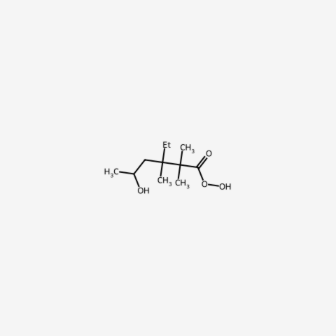 CCC(C)(CC(C)O)C(C)(C)C(=O)OO